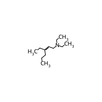 CCC/C(=C\CN(CC)CC)CC